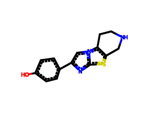 Oc1ccc(-c2cn3c4c(sc3n2)CNCC4)cc1